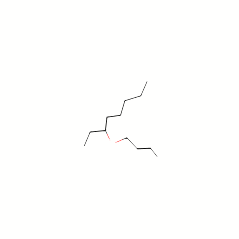 [CH2]CC(CCCCC)OCCCC